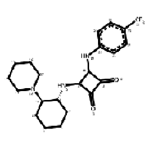 O=C1C(=O)C(N[C@@H]2CCCC[C@H]2N2CCCCC2)C1Nc1ccc(C(F)(F)F)cc1